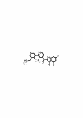 CCNCc1cncc(-c2cc(C(=O)c3nc4cc(F)cc(F)c4[nH]3)ccn2)c1C